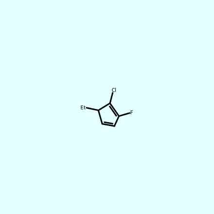 CCC1C=CC(F)=C1Cl